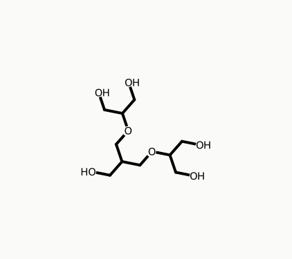 OCC(COC(CO)CO)COC(CO)CO